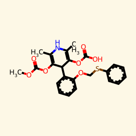 COC(=O)OC1=C(C)NC(C)=C(OC(=O)O)C1c1ccccc1OCSc1ccccc1